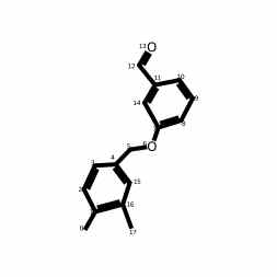 Cc1ccc(COc2cccc(C=O)c2)cc1C